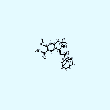 COc1cc2c(cc1C(=O)O)C(=CC(=O)C13CC4CC(CC(C4)C1)C3)NC(C)(C)C2